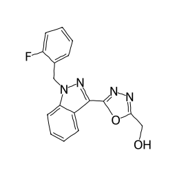 OCc1nnc(-c2nn(Cc3ccccc3F)c3ccccc23)o1